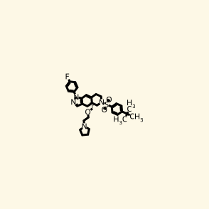 CC(C)(C)c1ccc(S(=O)(=O)N2CCC3=Cc4c(cnn4-c4ccc(F)cc4)C[C@]3(COCCN3CCCC3)C2)cc1